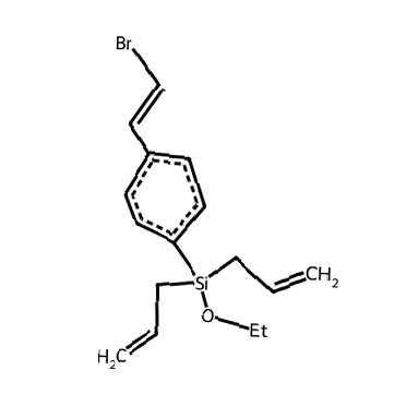 C=CC[Si](CC=C)(OCC)c1ccc(/C=C/Br)cc1